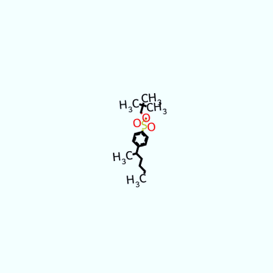 CCCCC(C)c1ccc(S(=O)(=O)OCC(C)(C)C)cc1